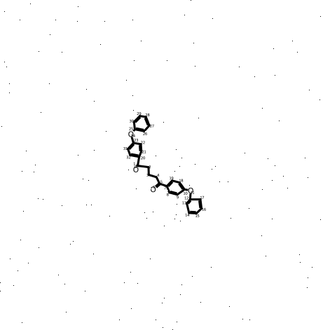 O=C(CCCC(=O)c1ccc(Oc2ccccc2)cc1)c1ccc(Oc2ccccc2)cc1